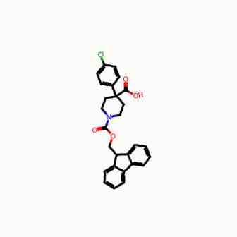 O=C(OCC1c2ccccc2-c2ccccc21)N1CCC(C(=O)O)(c2ccc(Cl)cc2)CC1